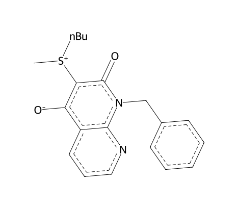 CCCC[S+](C)c1c([O-])c2cccnc2n(Cc2ccccc2)c1=O